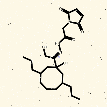 CCCC1CCCC(CCC)CC(O)(/C(CO)=N/NC(=O)CN2C(=O)C=CC2=O)C1